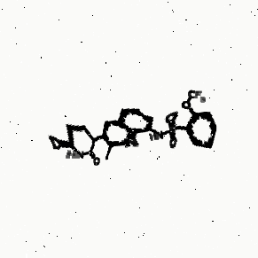 Cc1nc2c(NS(=O)(=O)c3ccccc3OC(F)(F)F)cccc2cc1C1CCC(=O)NC1=O